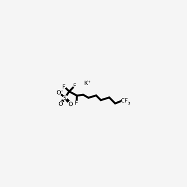 O=S(=O)([O-])C(F)(F)C(F)CCCCCCC(F)(F)F.[K+]